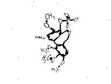 COc1ccc2c(c1OP(=O)([O-])[O-])COCc1cc(OC)c(OC)c(OC)c1-2.[Na+].[Na+]